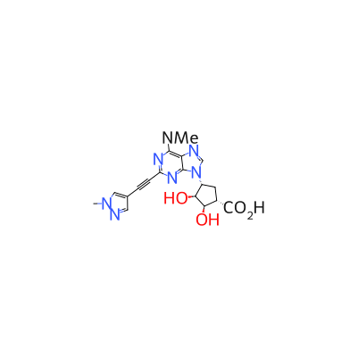 CNc1nc(C#Cc2cnn(C)c2)nc2c1ncn2[C@@H]1C[C@H](C(=O)O)[C@@H](O)[C@H]1O